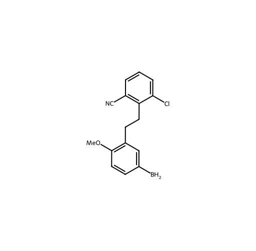 Bc1ccc(OC)c(CCc2c(Cl)cccc2C#N)c1